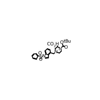 CC(C)(C)OC(=O)N1CCN(Cc2cccc3c2ccn3S(=O)(=O)c2ccccc2)CC1C(=O)O